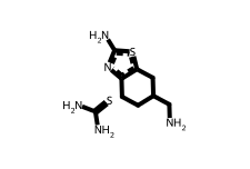 NC(N)=S.NCC1CCc2nc(N)sc2C1